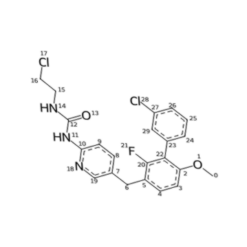 COc1ccc(Cc2ccc(NC(=O)NCCCl)nc2)c(F)c1-c1cccc(Cl)c1